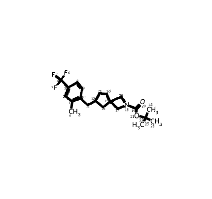 Cc1cc(C(F)(F)F)ccc1CC1CCC2(C1)CN(C(=O)OC(C)(C)C)C2